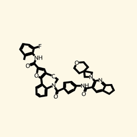 Cc1cccc(F)c1NC(=O)c1cc2c(o1)-c1ccccc1N(C(=O)c1ccc(NC(=O)c3cc4c(nc3N3CC5(CCOCC5)C3)CCC4)cc1)CC2